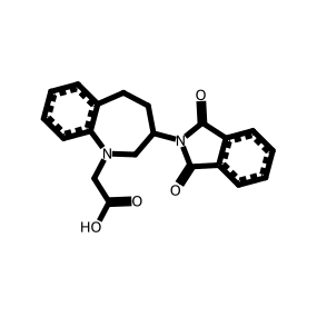 O=C(O)CN1CC(N2C(=O)c3ccccc3C2=O)CCc2ccccc21